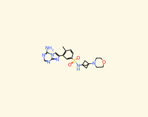 Cc1ccc(S(=O)(=O)NC23CC(N4CCOCC4)(C2)C3)cc1-c1cn2c(N)ncnc2n1